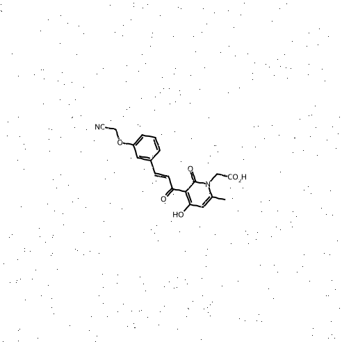 Cc1cc(O)c(C(=O)C=Cc2cccc(OCC#N)c2)c(=O)n1CC(=O)O